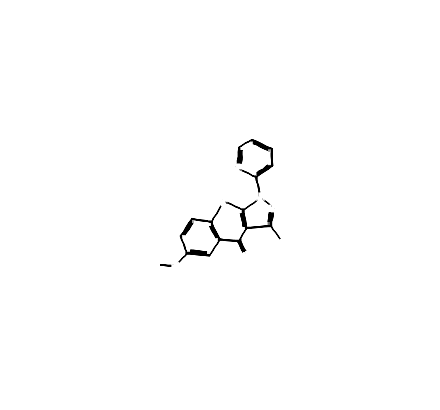 CSc1ccc2[nH]c3c(c(C)nn3-c3ccccn3)c(=O)c2c1